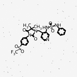 CC1(C)C(=O)N(c2ccc(S(=O)(=O)C(F)(F)F)cc2)C(=O)N1Cc1ccncc1NS(=O)(=O)Nc1ccccc1